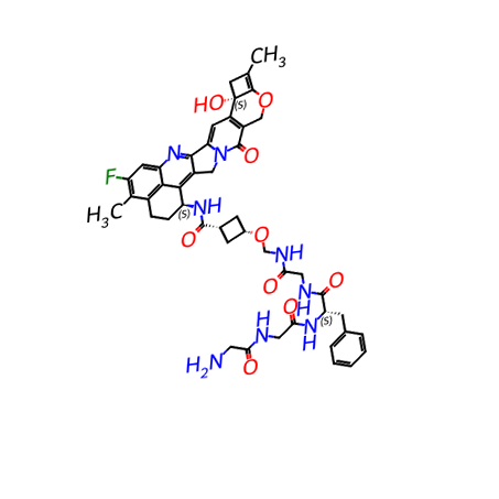 CC1=C2OCc3c(cc4n(c3=O)Cc3c-4nc4cc(F)c(C)c5c4c3[C@@H](NC(=O)[C@H]3C[C@@H](OCNC(=O)CNC(=O)[C@H](Cc4ccccc4)NC(=O)CNC(=O)CN)C3)CC5)[C@@]2(O)C1